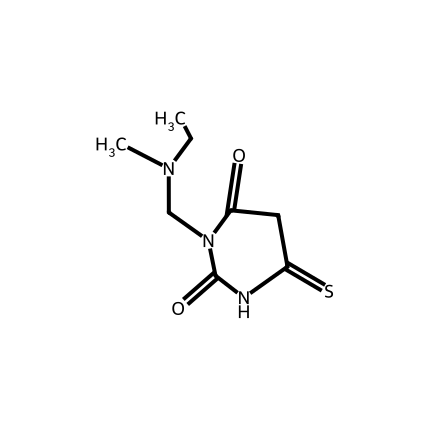 CCN(C)CN1C(=O)CC(=S)NC1=O